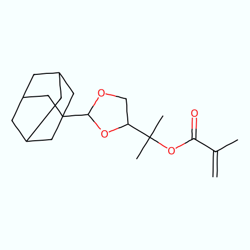 C=C(C)C(=O)OC(C)(C)C1COC(C23CC4CC(CC(C4)C2)C3)O1